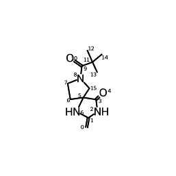 C=C1NC(=O)C2(CCN(C(=O)C(C)(C)C)C2)N1